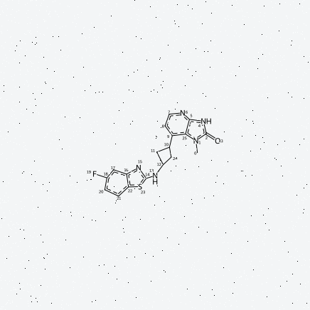 Cn1c(=O)[nH]c2nccc(C3CC(Nc4nc5cc(F)ccc5s4)C3)c21